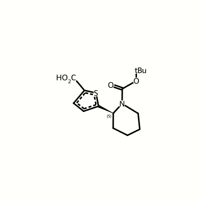 CC(C)(C)OC(=O)N1CCCC[C@H]1c1ccc(C(=O)O)s1